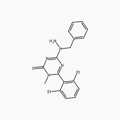 CCc1cccc(CC)c1-c1nc(N(N)Cc2ccccc2)nc(=O)n1C